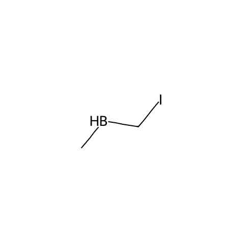 CBCI